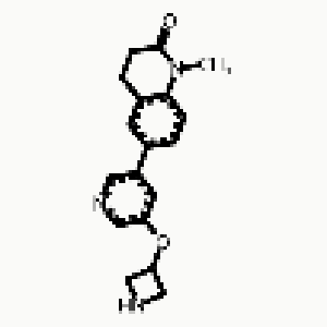 CN1C(=O)CCc2cc(-c3cncc(OC4CNC4)c3)ccc21